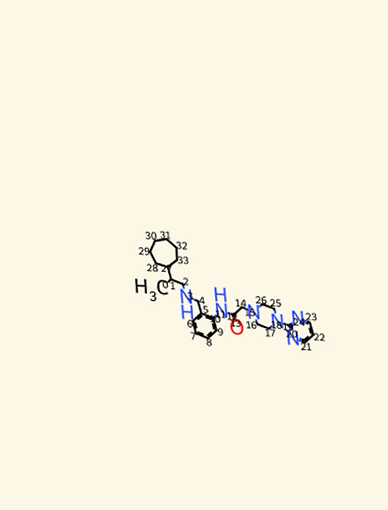 CC(CNCc1ccccc1NC(=O)CN1CCN(c2ncccn2)CC1)C1CCCCCC1